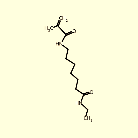 C=C(C)C(=O)NCCCCCCC(=O)NCC